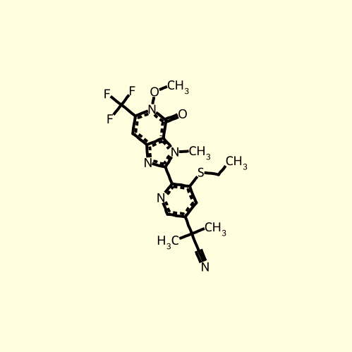 CCSc1cc(C(C)(C)C#N)cnc1-c1nc2cc(C(F)(F)F)n(OC)c(=O)c2n1C